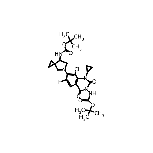 CC(C)(C)OC(=O)NC1CN(c2c(F)cc3c(=O)n(NC(=O)OC(C)(C)C)c(=O)n(C4CC4)c3c2Cl)CC12CC2